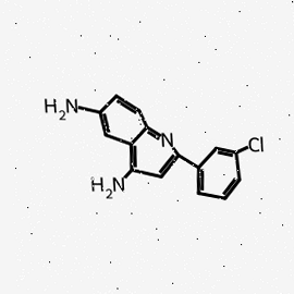 Nc1ccc2nc(-c3cccc(Cl)c3)cc(N)c2c1